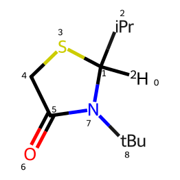 [2H]C1(C(C)C)SCC(=O)N1C(C)(C)C